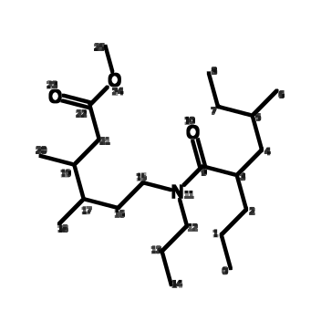 CCCC(CC(C)CC)C(=O)N(CCC)CCC(C)C(C)CC(=O)OC